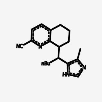 CCCCC(c1[nH]cnc1C)C1CCCc2ccc(C#N)nc21